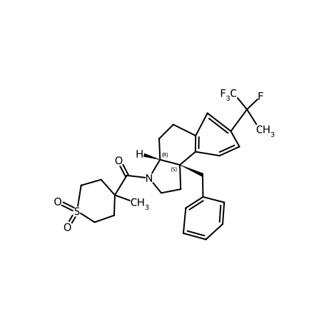 CC1(C(=O)N2CC[C@@]3(Cc4ccccc4)c4ccc(C(C)(F)C(F)(F)F)cc4CC[C@@H]23)CCS(=O)(=O)CC1